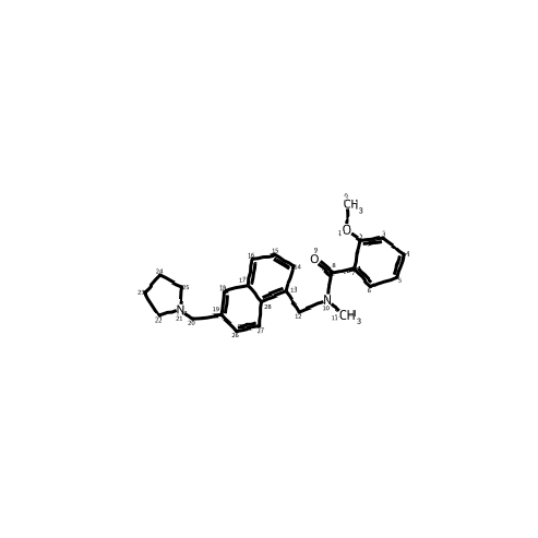 COc1ccccc1C(=O)N(C)Cc1cccc2cc(CN3CCCC3)ccc12